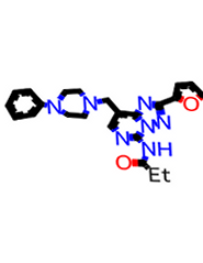 CCC(=O)Nc1ncc(CN2CCN(c3ccccc3)CC2)c2nc(-c3ccco3)nn12